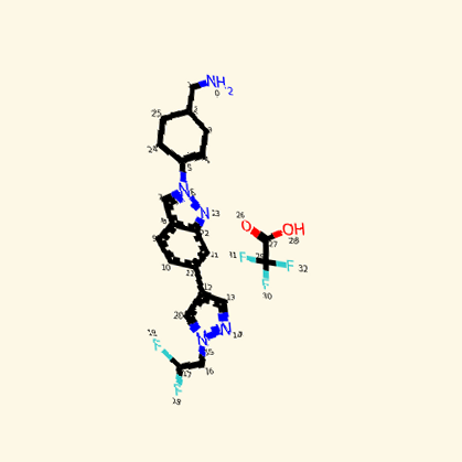 NCC1CCC(n2cc3ccc(-c4cnn(CC(F)F)c4)cc3n2)CC1.O=C(O)C(F)(F)F